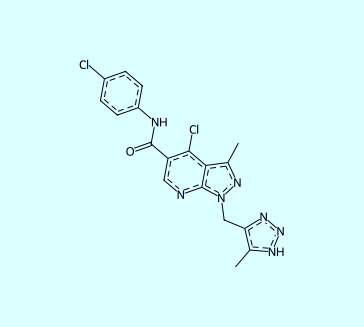 Cc1[nH]nnc1Cn1nc(C)c2c(Cl)c(C(=O)Nc3ccc(Cl)cc3)cnc21